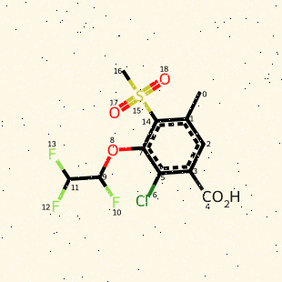 Cc1cc(C(=O)O)c(Cl)c(OC(F)C(F)F)c1S(C)(=O)=O